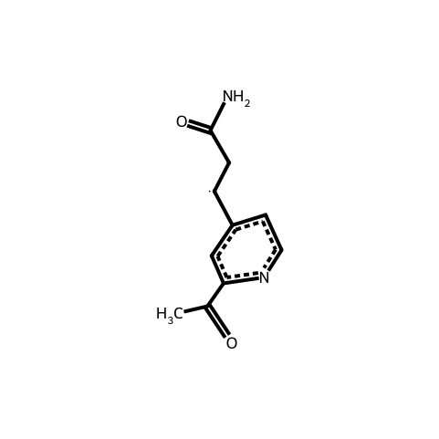 CC(=O)c1cc([CH]CC(N)=O)ccn1